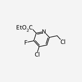 CCOC(=O)c1nc(CCl)cc(Cl)c1F